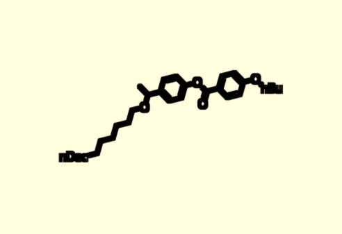 CCCCCCCCCCCCCCCCOC(C)c1ccc(OC(=O)c2ccc(OCCCC)cc2)cc1